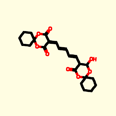 O=C1OC2(CCCCC2)OC(=O)C1=CC=CC=CC1C(=O)OC2(CCCCC2)OC1O